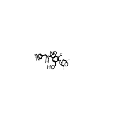 C[C@@H]1CN(c2c(CO)cc3c(NCc4cnn(C)c4)noc3c2F)C[C@H](C)O1